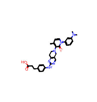 Cc1ccn(-c2cccc(N(C)C)c2)c(=O)c1N1CCc2nc(Nc3ccc(CCC(=O)O)cc3)ncc2C1